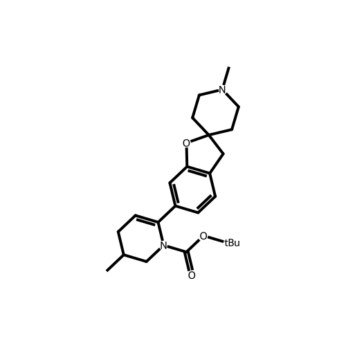 CC1CC=C(c2ccc3c(c2)OC2(CCN(C)CC2)C3)N(C(=O)OC(C)(C)C)C1